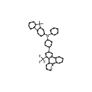 CC1(C)c2ccccc2-c2ccc(N(c3ccccc3)c3ccc(-c4cc(C(F)(F)F)c5c6ccccc6c6ccccc6c5c4)cc3)cc21